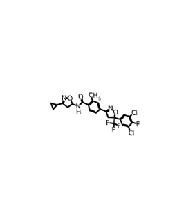 Cc1cc(C2=NO[C@@](c3cc(Cl)c(F)c(Cl)c3)(C(F)(F)F)C2)ccc1C(=O)NC1CC(C2CC2)=NO1